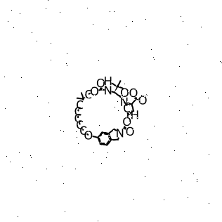 COC(=O)C1C[C@@H]2CN1C(=O)[C@H](C(C)(C)C)NC(=O)OCC(C)(C)CCCCCOc1ccc3c(c1)CN(C3)C(=O)O2